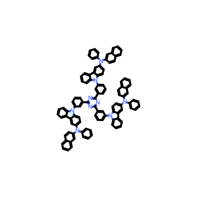 c1ccc(N(c2ccc3ccccc3c2)c2ccc3c(c2)c2ccccc2n3-c2cccc(-c3nc(-c4cccc(-n5c6ccccc6c6cc(N(c7ccccc7)c7ccc8ccccc8c7)ccc65)c4)nc(-c4cccc(-n5c6ccccc6c6cc(N(c7ccccc7)c7ccc8ccccc8c7)ccc65)c4)n3)c2)cc1